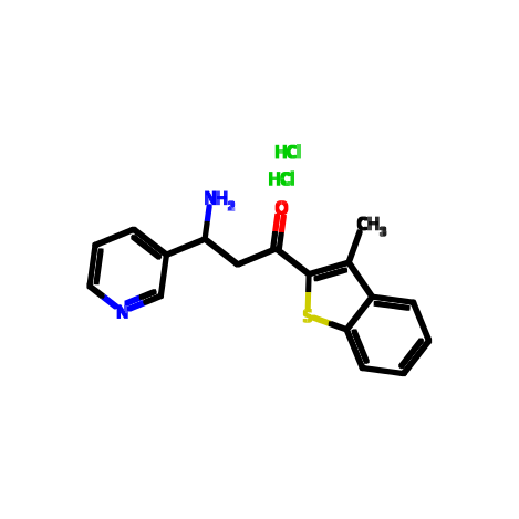 Cc1c(C(=O)CC(N)c2cccnc2)sc2ccccc12.Cl.Cl